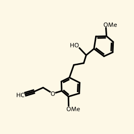 C#CCOc1cc(CCC(O)c2cccc(OC)c2)ccc1OC